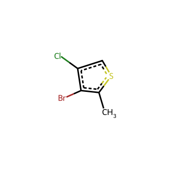 Cc1scc(Cl)c1Br